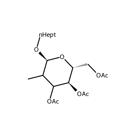 CCCCCCCO[C@H]1O[C@H](COC(C)=O)[C@@H](OC(C)=O)C(OC(C)=O)C1C